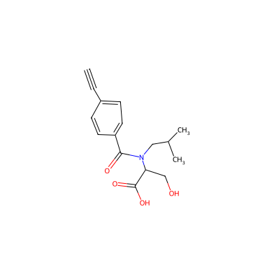 [C]#Cc1ccc(C(=O)N(CC(C)C)C(CO)C(=O)O)cc1